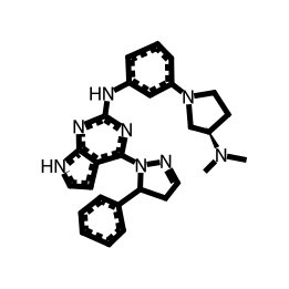 CN(C)[C@@H]1CCN(c2cccc(Nc3nc(N4N=CCC4c4ccccc4)c4cc[nH]c4n3)c2)C1